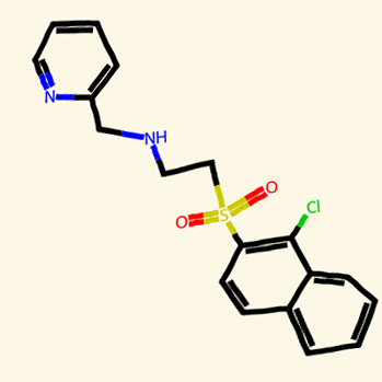 O=S(=O)(CCNCc1ccccn1)c1ccc2ccccc2c1Cl